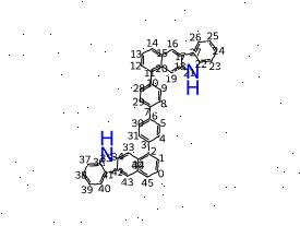 c1cc(-c2ccc(-c3ccc(-c4cccc5cc6c(cc45)[nH]c4ccccc46)cc3)cc2)c2cc3[nH]c4ccccc4c3cc2c1